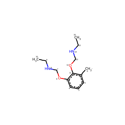 [CH2]c1cccc(OCNCC)c1OCNCC